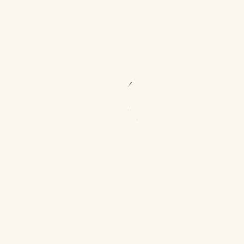 CC1=C[C@@H](C)C(C(=O)C2(C(C)(C)C)CCC(C)=C[C@H]2C)(C(C)(C)C)CC1